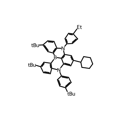 CCc1ccc(N2c3ccc(C(C)(C)C)cc3B3c4cc(C(C)(C)C)ccc4N(c4ccc(C(C)(C)C)cc4)c4cc(C5CCCCC5)cc2c43)cc1